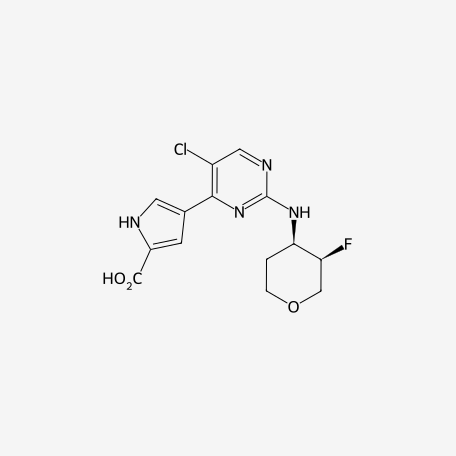 O=C(O)c1cc(-c2nc(N[C@@H]3CCOC[C@@H]3F)ncc2Cl)c[nH]1